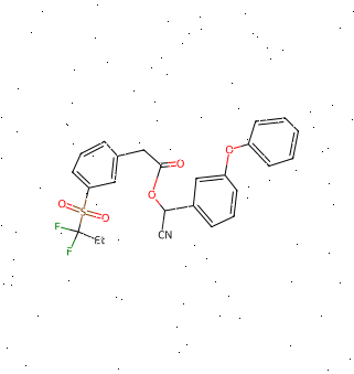 CCC(F)(F)S(=O)(=O)c1cccc(CC(=O)OC(C#N)c2cccc(Oc3ccccc3)c2)c1